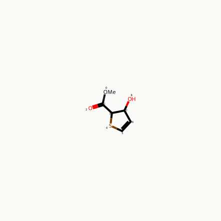 COC(=O)C1SC=CC1O